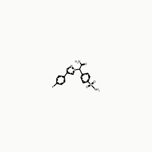 NC(=O)C(c1ccc(S(N)(=O)=O)cc1)n1cc(-c2ccc(F)cc2)cn1